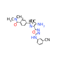 CC/C(=N\C(=C(/C)N)c1nnc(Nc2cccc(C#N)c2)o1)c1ccc(C(=O)N(C)C)cc1